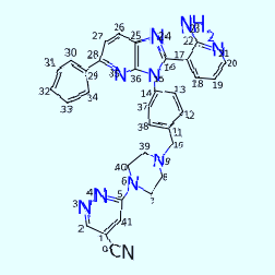 N#Cc1cnnc(N2CCN(Cc3ccc(-n4c(-c5cccnc5N)nc5ccc(-c6ccccc6)nc54)cc3)CC2)c1